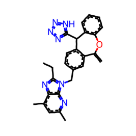 C=C1Oc2ccccc2C(c2nnn[nH]2)c2ccc(Cn3c(CC)nc4c(C)cc(C)nc43)cc21